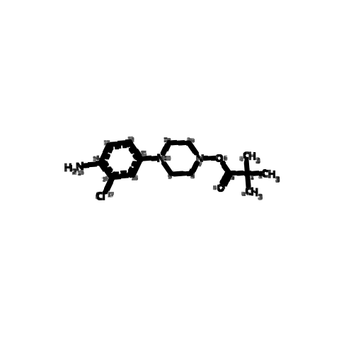 CC(C)(C)C(=O)ON1CCN(c2ccc(N)c(Cl)c2)CC1